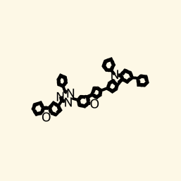 c1ccc(-c2ccc3c(c2)c2ccc(-c4ccc5c(c4)oc4ccc(-c6nc(-c7ccccc7)nc(-c7ccc8oc9ccccc9c8c7)n6)cc45)cc2n3-c2ccccc2)cc1